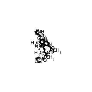 CO[C@H]1C[C@H]2C=C[C@H]3[C@H]4O[C@]2(/C(C)=C/[C@@H](C)[C@@H]([C@@H](C)OC(=O)N2CCOCC2)OC1=O)[C@@H]3[C@H](O)[C@@H](C)[C@H]4OC(=O)c1ccc[nH]1